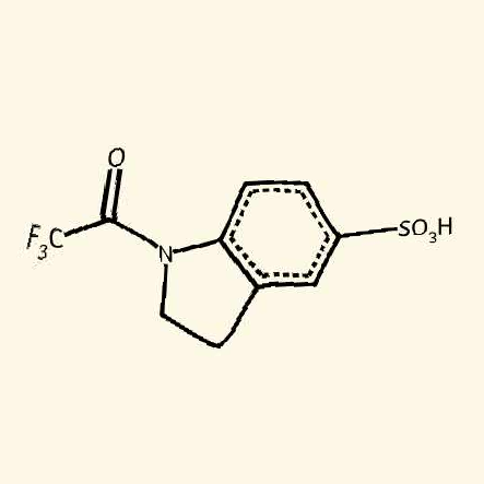 O=C(N1CCc2cc(S(=O)(=O)O)ccc21)C(F)(F)F